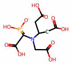 O=C(O)CC(CC(=O)O)N(CC(=O)O)/C(C(=O)O)=[P+](\[O-])O